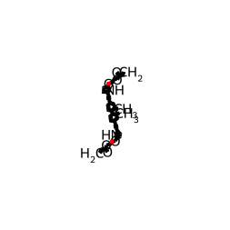 C=CC(=O)OCCOc1ccc(C#Cc2ccc(-c3ccc(C#Cc4ccc(OCCOC(=O)C=C)[nH]4)cc3C)c(C)c2)[nH]1